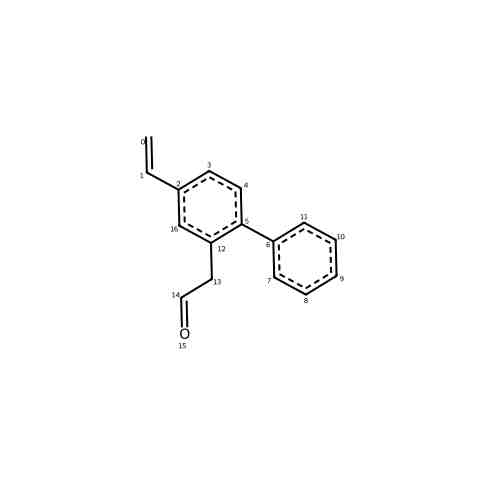 C=Cc1ccc(-c2ccccc2)c(CC=O)c1